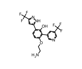 NCCOc1ccc(-c2cc(C(F)(F)F)n[nH]2)c(O)c1-c1cncc(C(F)(F)F)c1